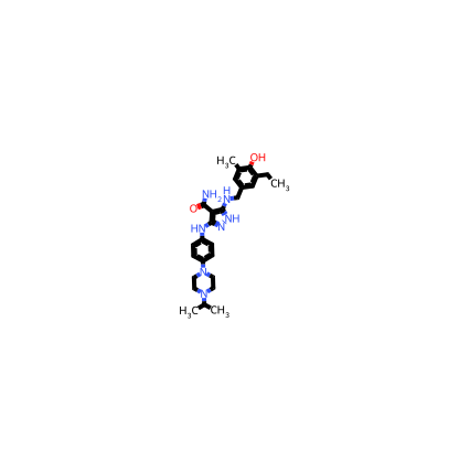 CCc1cc(CNc2[nH]nc(Nc3ccc(N4CCN(C(C)C)CC4)cc3)c2C(N)=O)cc(C)c1O